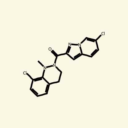 CN1c2c(Cl)cccc2CCN1C(=O)c1cc2ccc(Cl)cn2n1